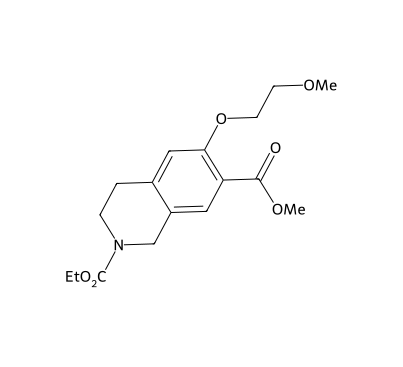 CCOC(=O)N1CCc2cc(OCCOC)c(C(=O)OC)cc2C1